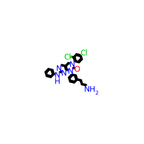 NCCCc1cccc(N2C(=O)N(c3ccc(Cl)cc3Cl)Cc3cnc(Nc4ccccc4)nc32)c1